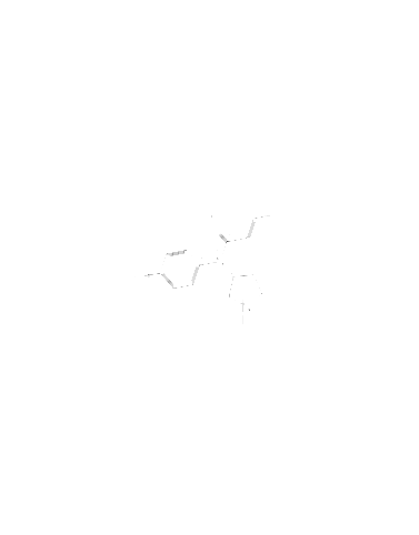 CC=CC(=O)N(c1ccc(O)cc1)C1CCNC1